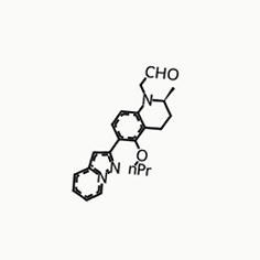 CCCOc1c(-c2cc3ccccn3n2)ccc2c1CC[C@H](C)N2CC=O